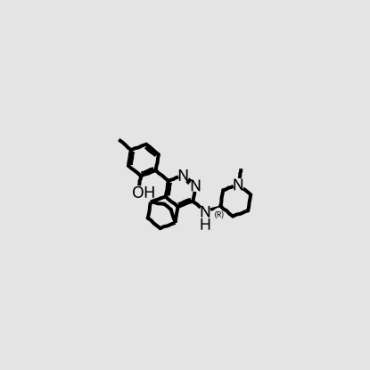 Cc1ccc(-c2nnc(N[C@@H]3CCCN(C)C3)c3c2C2CCC3CC2)c(O)c1